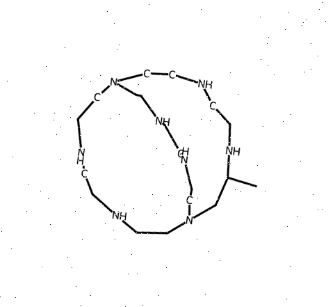 CC1CN2CCNCCNCCN(CCNCCNCC2)CCNCCN1